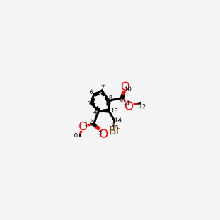 COC(=O)c1cccc(C(=O)OC)c1CBr